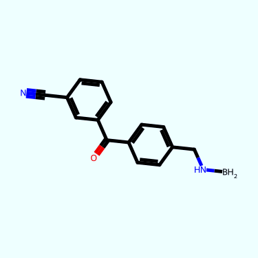 BNCc1ccc(C(=O)c2cccc(C#N)c2)cc1